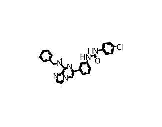 CN(Cc1ccccc1)c1nc(-c2cccc(NC(=O)Nc3ccc(Cl)cc3)c2)cn2ccnc12